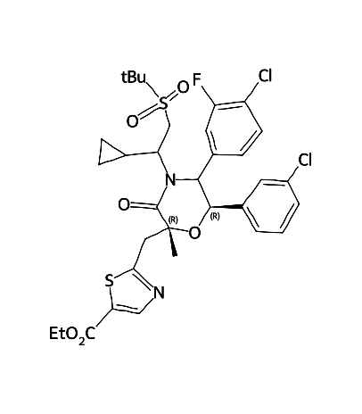 CCOC(=O)c1cnc(C[C@@]2(C)O[C@H](c3cccc(Cl)c3)C(c3ccc(Cl)c(F)c3)N(C(CS(=O)(=O)C(C)(C)C)C3CC3)C2=O)s1